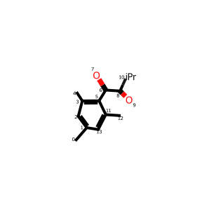 Cc1cc(C)c(C(=O)C(=O)C(C)C)c(C)c1